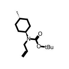 C=CCN(C(=O)OC(C)(C)C)[C@H]1CC[C@H](C)CC1